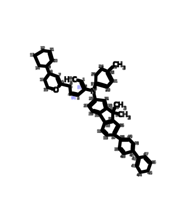 C/C=C(\C=C/CC1=CC(C2C=CCCC2)CCO1)N(C1=CC=C(C)CC1)c1ccc2c(c1)C(C)(C)c1cc(-c3ccc(C4=CCCC=C4)cc3)ccc1-2